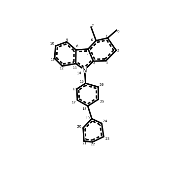 Cc1ccc2c(c1C)c1ccccc1n2-c1ccc(-c2ccccc2)cc1